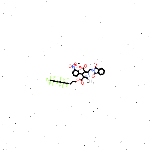 COC(=O)C1=C(CN2C(=O)c3ccccc3C2=O)NC(C)=C(C(=O)OCCCC(F)(F)C(F)(F)C(F)(F)C(F)(F)C(F)(F)C(F)(F)F)C1c1cccc([N+](=O)[O-])c1